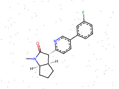 CN1C(=O)[C@H](c2ccc(-c3cccc(F)c3)cn2)[C@H]2CCC[C@H]21